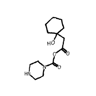 O=C(CC1(O)CCCCC1)OC(=O)N1CCNCC1